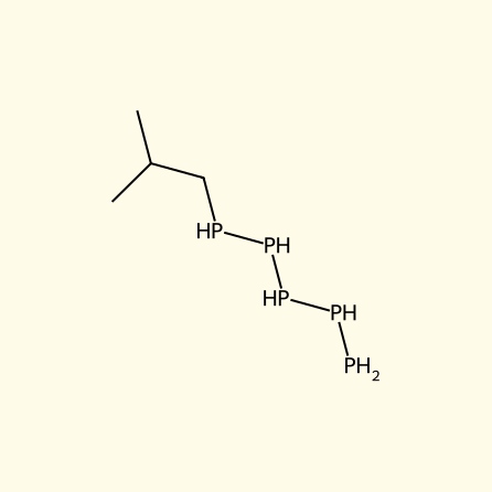 CC(C)CPPPPP